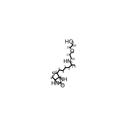 CC(CCCCC1SCC2NC(=O)NC21)NCCOCCO